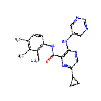 Cc1ccc(NC(=O)c2nc(C3CC3)cnc2Nc2cncnc2)c(C(=O)O)c1C